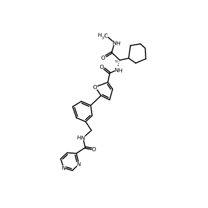 CNC(=O)[C@@H](NC(=O)c1ccc(-c2cccc(CNC(=O)c3ccncn3)c2)o1)C1CCCCC1